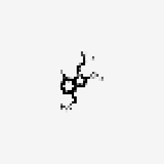 CCc1ccc(F)c2c1cc(C)n2CCN